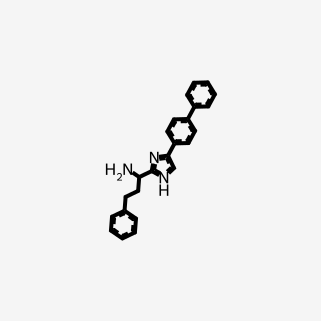 NC(CCc1ccccc1)c1nc(-c2ccc(-c3ccccc3)cc2)c[nH]1